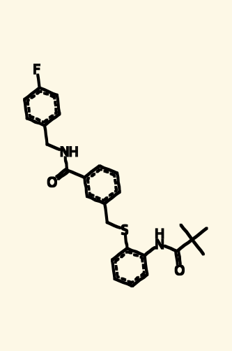 CC(C)(C)C(=O)Nc1ccccc1SCc1cccc(C(=O)NCc2ccc(F)cc2)c1